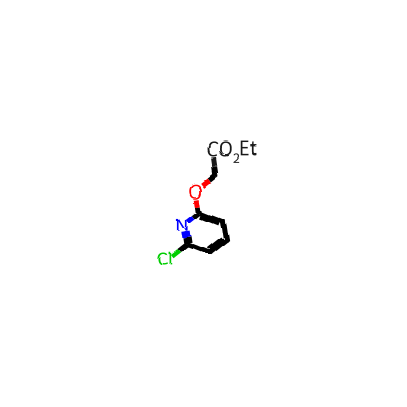 CCOC(=O)COc1cccc(Cl)n1